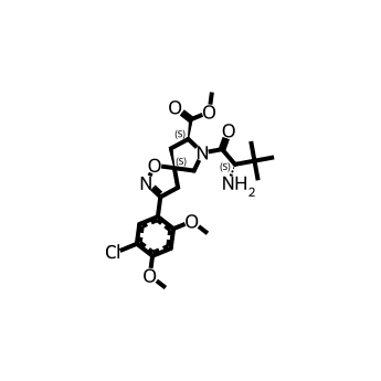 COC(=O)[C@@H]1C[C@]2(CC(c3cc(Cl)c(OC)cc3OC)=NO2)CN1C(=O)[C@@H](N)C(C)(C)C